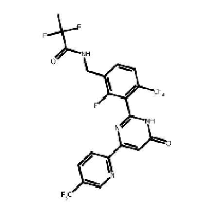 CC(F)(F)C(=O)NCc1ccc(C(F)(F)F)c(-c2nc(-c3ccc(C(F)(F)F)cn3)cc(=O)[nH]2)c1F